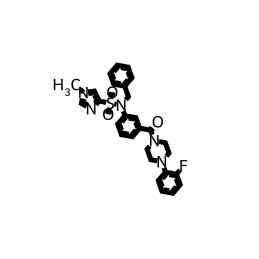 Cn1cnc(S(=O)(=O)N(Cc2ccccc2)c2cccc(C(=O)N3CCN(c4ccccc4F)CC3)c2)c1